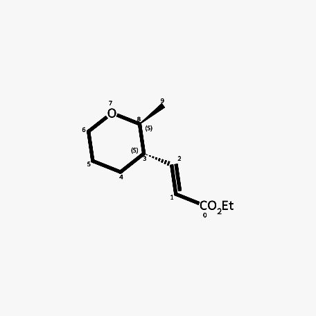 CCOC(=O)C=C[C@@H]1CCCO[C@H]1C